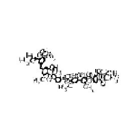 CCc1cc(Cc2cc(C)c(C(C)(C)C)c(CC)c2)cc(C)c1N1C(=O)c2ccc(C(=O)Oc3c(C)cc(-c4cc(C)c(OC(=O)c5ccc6c(c5)C(=O)N(C(C)(C)C)C6=O)c(C)c4C)c(C)c3C)cc2C1=O